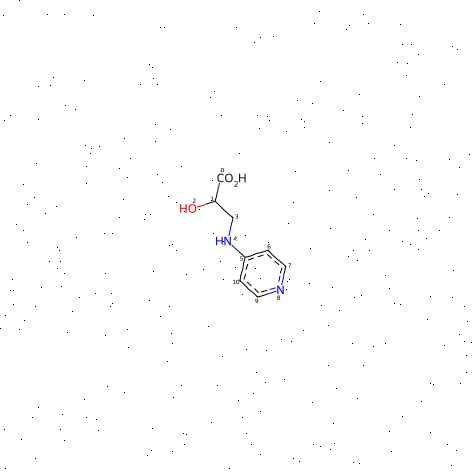 O=C(O)C(O)CNc1ccncc1